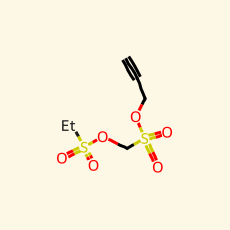 C#CCOS(=O)(=O)COS(=O)(=O)CC